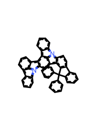 c1ccc(C2(c3ccccc3)c3ccccc3-c3ccc4c(c32)c2cc3c(c5cccc6c7ccccc7n3c65)c3c5ccccc5n4c23)cc1